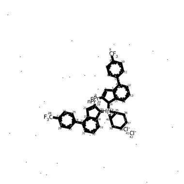 CCCC1=Cc2c(-c3ccc(C(F)(F)F)cc3)cccc2[CH]1[Hf+2]1([CH]2C(CCC)=Cc3c(-c4ccc(C(F)(F)F)cc4)cccc32)[CH]2CCCC[CH]21.[Cl-].[Cl-]